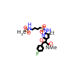 CCc1cc2c(C(=O)NC)c(-c3ccc(F)cc3)oc2nc1NS(=O)(=O)CCCCNS(C)(=O)=O